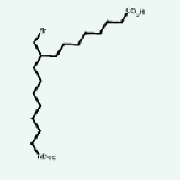 CCCCCCCCCCCCCCCCCC(CBr)CCCCCCCC(=O)O